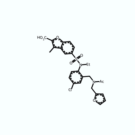 CCN(c1ccc(Cl)cc1CN(Cc1ccco1)C(C)=O)S(=O)(=O)c1ccc2oc(C(=O)O)c(C)c2c1